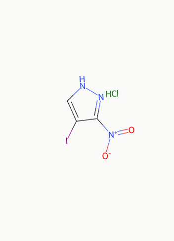 Cl.O=[N+]([O-])c1n[nH]cc1I